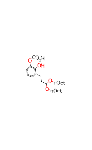 CCCCCCCCOC(CCc1cccc(OC(=O)O)c1O)OCCCCCCCC